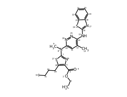 CCOC(=O)c1nc(N(C)c2cc(C)c(Nc3nc4ccccc4s3)nn2)sc1CCCI